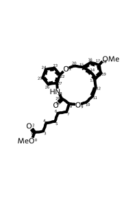 COC(=O)CCCCCC1OC/C=C\c2cc(cc(OC)c2)COc2ccccc2NC1=O